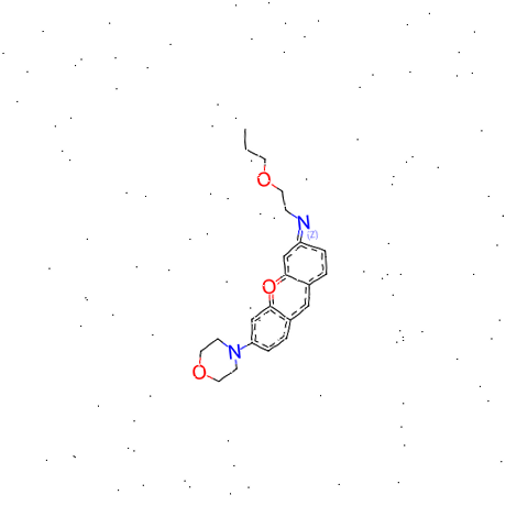 CCCOCC/N=c1/ccc2cc3ccc(N4CCOCC4)cc3oc-2c1